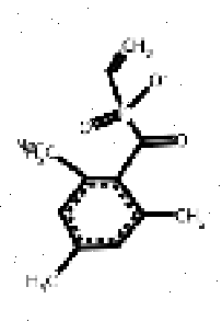 C=CP(=O)([O-])C(=O)c1c(C)cc(C)cc1C.[Na+]